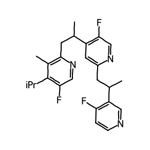 Cc1c(CC(C)c2cc(CC(C)c3cnccc3F)ncc2F)ncc(F)c1C(C)C